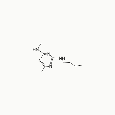 CCCCNc1nc(C)nc(NC)n1